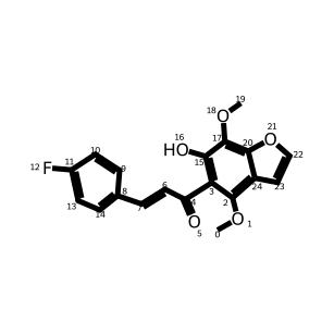 COc1c(C(=O)/C=C/c2ccc(F)cc2)c(O)c(OC)c2occc12